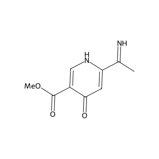 COC(=O)c1c[nH]c(C(C)=N)cc1=O